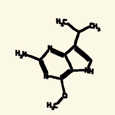 COc1nc(N)nc2c(C(C)C)c[nH]c12